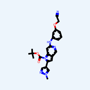 Cn1cc(-c2cc3cnc(Nc4cccc(OCC#N)c4)cc3n2C(=O)OC(C)(C)C)cn1